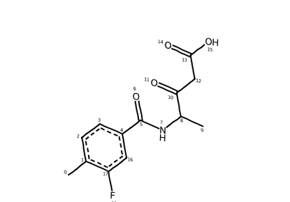 Cc1ccc(C(=O)NC(C)C(=O)CC(=O)O)cc1F